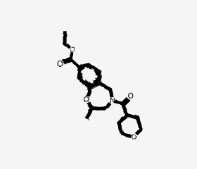 CCOC(=O)c1ccc2c(c1)OC(C)CN(C(=O)C1CCOCC1)C2